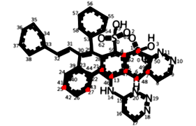 O=S(=O)(O)c1c(Nc2ccnnn2)c(Nc2ccnnn2)c(-c2ccccc2)c(C(=C(C=Cc2ccccc2)c2ccccc2C=Cc2ccccc2)c2ccccc2)c1S(=O)(=O)O